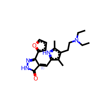 CCN(CC)CCc1c(C)[nH]c(/C=C2/C(=O)NN=C2c2ccco2)c1C